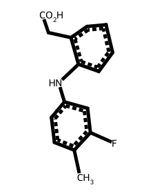 Cc1ccc(Nc2ccccc2CC(=O)O)cc1F